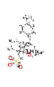 Cc1ccc(C=C2C(=O)C3(CS(=O)(=O)[O-])CCC2C3(C)C)cc1.[Na+]